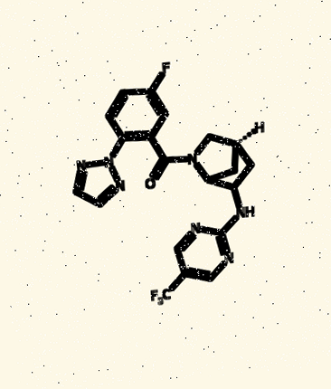 O=C(c1cc(F)ccc1-n1nccn1)N1C[C@H]2CC(Nc3ncc(C(F)(F)F)cn3)C1C2